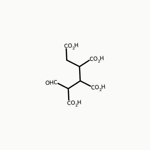 O=CC(C(=O)O)C(C(=O)O)C(CC(=O)O)C(=O)O